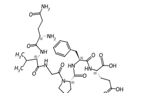 CC(C)[C@H](NC(=O)[C@@H](N)CCC(N)=O)C(=O)NCC(=O)N1CCC[C@H]1C(=O)N[C@@H](Cc1ccccc1)C(=O)N[C@@H](CCC(=O)O)C(=O)O